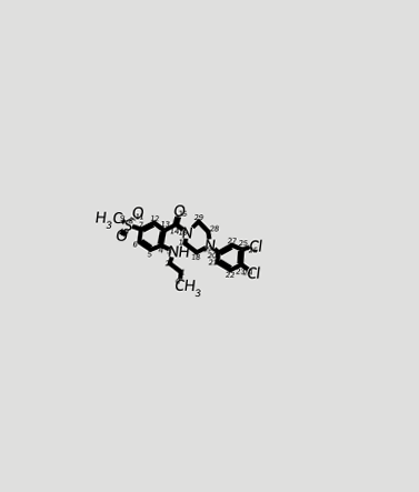 CCCNc1ccc(S(C)(=O)=O)cc1C(=O)N1CCN(c2ccc(Cl)c(Cl)c2)CC1